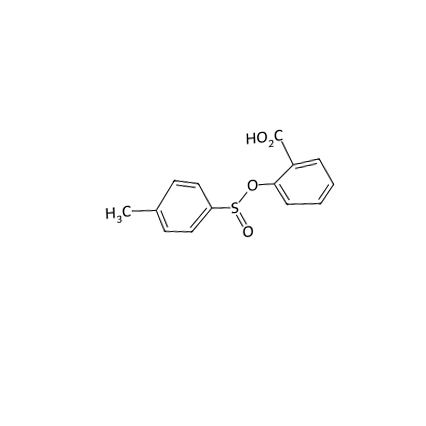 Cc1ccc(S(=O)Oc2ccccc2C(=O)O)cc1